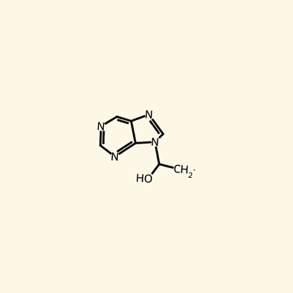 [CH2]C(O)n1cnc2cncnc21